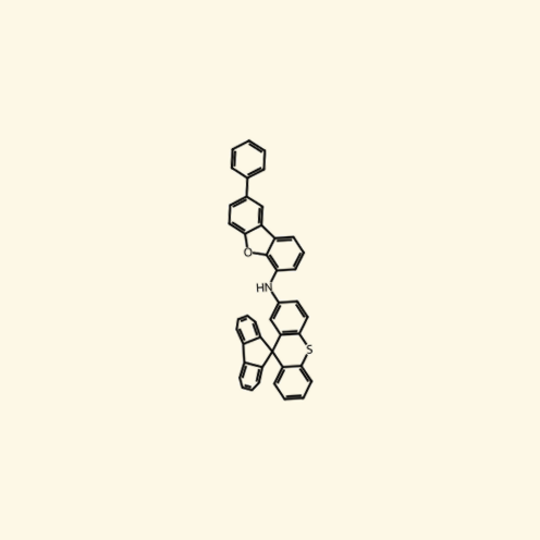 c1ccc(-c2ccc3oc4c(Nc5ccc6c(c5)C5(c7ccccc7S6)c6ccccc6-c6ccccc65)cccc4c3c2)cc1